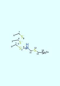 CC[S-].CC[S-].CC[S-].CNCS[CH2][Sn+3]